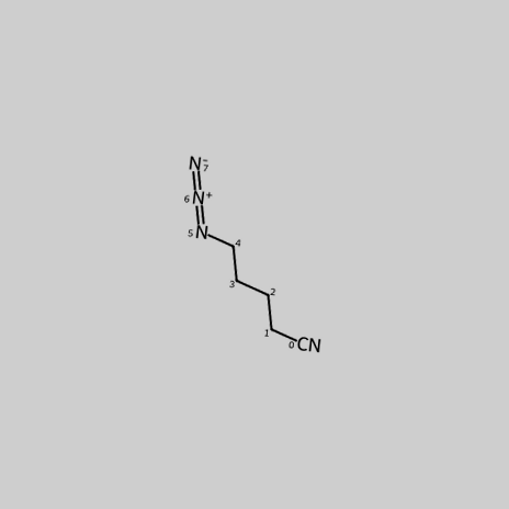 N#CCCCCN=[N+]=[N-]